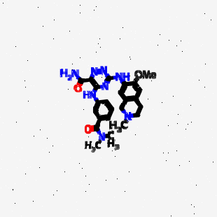 COc1cc2c(cc1Nc1nnc(C(N)=O)c(Nc3cccc(C(=O)N(C)C)c3)n1)CN(C)CC2